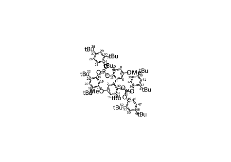 COc1cc(-c2cc(OC)cc(C(C)(C)C)c2OP(Oc2ccc(C(C)(C)C)cc2C(C)(C)C)Oc2ccc(C(C)(C)C)cc2C(C)(C)C)c(OP(Oc2ccc(C(C)(C)C)cc2C(C)(C)C)Oc2ccc(C(C)(C)C)cc2C(C)(C)C)c(C(C)(C)C)c1